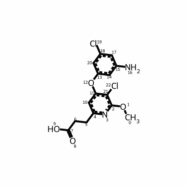 COc1nc(CCC(=O)O)cc(Oc2cc(N)cc(Cl)c2)c1Cl